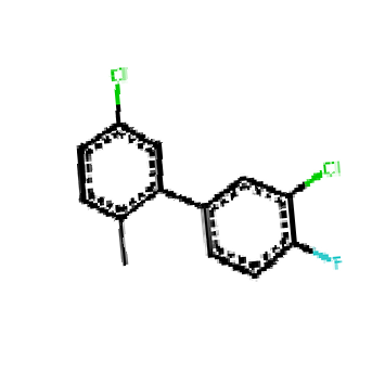 Cc1ccc(Cl)cc1-c1ccc(F)c(Cl)c1